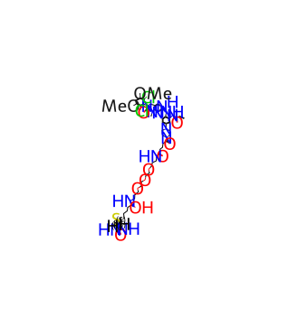 C=CC(=O)Nc1cc(N2CCN(C(=O)CCCC(=O)NCCCOCCOCCOCCCNC(O)CCCC[C@@H]3SC[C@@H]4NC(=O)N[C@@H]43)CC2)ccc1Nc1ncc2c(n1)N(C)C(=O)N(c1c(Cl)c(OC)cc(OC)c1Cl)C2